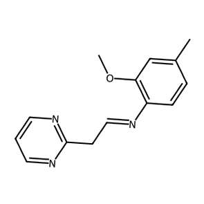 COc1cc(C)ccc1N=CCc1ncccn1